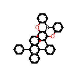 c1ccc(-c2c3ccccc3c(-c3ccccc3-c3ccc4c5c3Oc3ccccc3B5c3ccccc3O4)c3ccccc23)cc1